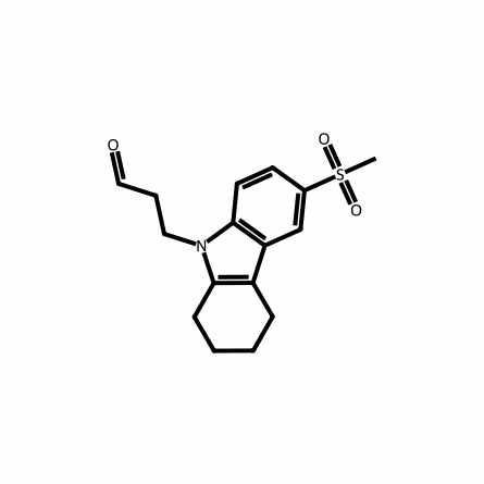 CS(=O)(=O)c1ccc2c(c1)c1c(n2CCC=O)CCCC1